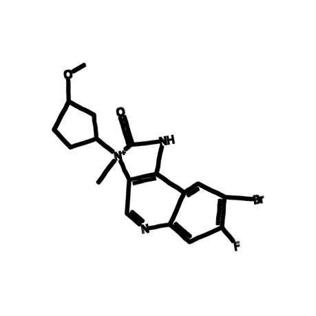 COC1CCC([N+]2(C)C(=O)Nc3c2cnc2cc(F)c(Br)cc32)C1